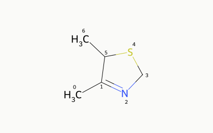 CC1=NCSC1C